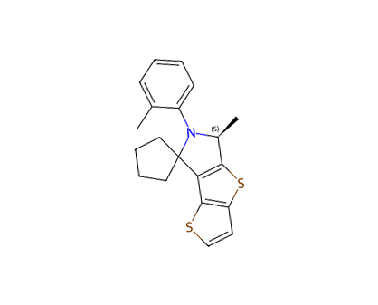 Cc1ccccc1N1[C@@H](C)c2sc3ccsc3c2C12CCCC2